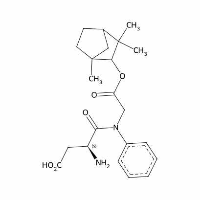 CC12CCC(C1)C(C)(C)C2OC(=O)CN(C(=O)[C@@H](N)CC(=O)O)c1ccccc1